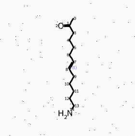 CC(=O)CCCC/C=C/CCCCCN